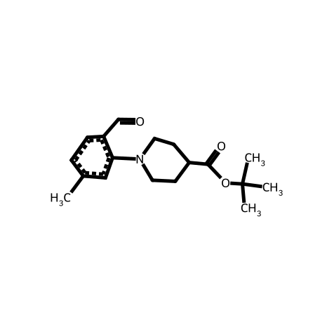 Cc1ccc(C=O)c(N2CCC(C(=O)OC(C)(C)C)CC2)c1